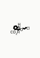 O=C(O)c1c(OCCCCl)[nH]c2ccccc12